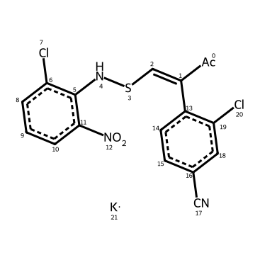 CC(=O)C(=CSNc1c(Cl)cccc1[N+](=O)[O-])c1ccc(C#N)cc1Cl.[K]